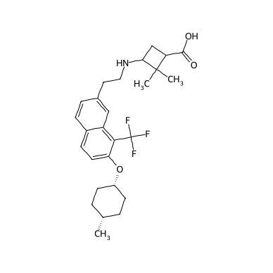 CC1(C)C(NCCc2ccc3ccc(O[C@H]4CC[C@@H](C)CC4)c(C(F)(F)F)c3c2)CC1C(=O)O